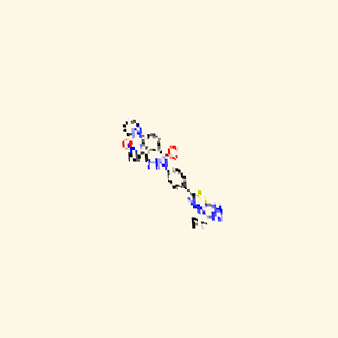 CCc1nnc2sc(-c3ccc(NC(=O)c4ccc(N5CCCC5)c([N+](=O)N=O)c4)cc3)nn12